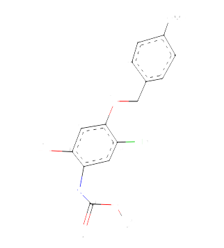 COc1ccc(COc2cc(O)c(NC(=O)OC(C)(C)C)cc2Cl)cc1